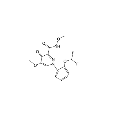 CONC(=O)c1nn(-c2ccccc2OC(F)F)cc(OC)c1=O